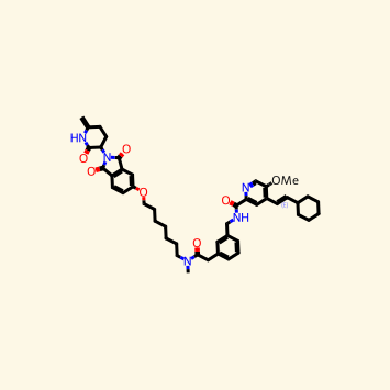 C=C1CCC(N2C(=O)c3ccc(OCCCCCCCN(C)C(=O)Cc4cccc(CNC(=O)c5cc(/C=C/C6CCCCC6)c(OC)cn5)c4)cc3C2=O)C(=O)N1